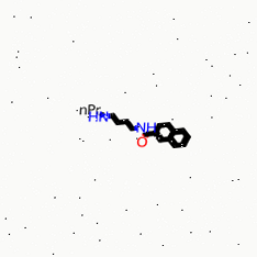 CCCNCCCCNC(=O)C1=Cc2ccccc2CC1